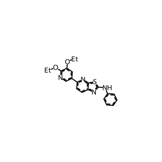 CCOc1cc(-c2ccc3nc(Nc4ccccc4)sc3n2)cnc1OCC